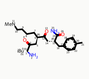 CC[C@H](C)[C@H](N)C(=O)C[C@@H](CCCCNC)C(=O)C[C@@H](Cc1ccc(C)cc1)C(N)=O